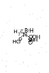 Br.CCCN(CCc1ccc(O)cc1)CCc1ccc(O)c2[nH]c(=O)sc12